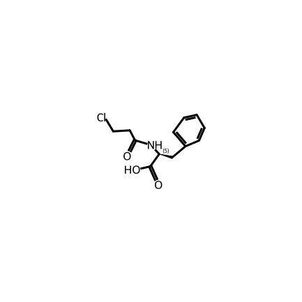 O=C(CCCl)N[C@@H](Cc1ccccc1)C(=O)O